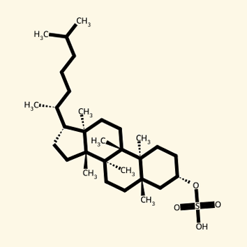 CC(C)CCC[C@@H](C)[C@H]1CC[C@@]2(C)[C@]3(C)CC[C@@]4(C)C[C@@H](OS(=O)(=O)O)CC[C@]4(C)[C@@]3(C)CC[C@]12C